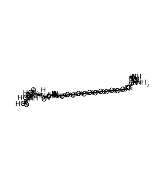 Nc1nc(OCc2ccc(COCCOCCOCCOCCOCCOCCOCCOCCOCCOCCOCCOCCn3cc(-c4ccc(C(=O)NCCCC[C@H](NC(=O)N[C@@H](CCC(=O)O)C(=O)O)C(=O)O)cc4)nn3)cc2)c2nc[nH]c2n1